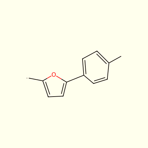 [CH2]c1ccc(-c2ccc(C)cc2)o1